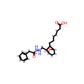 O=C(O)CCCCCCC1C2CCC(O2)C1CNNC(=O)Cc1ccccc1